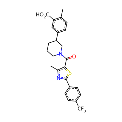 Cc1ccc(C2CCCN(C(=O)c3sc(-c4ccc(C(F)(F)F)cc4)nc3C)C2)cc1C(=O)O